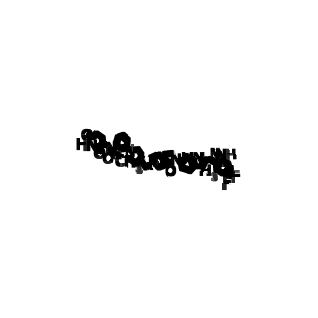 Cn1c(=O)n(C2CCC(=O)NC2=O)c2cccc(N3CCC(CN4CCC5(CC4)CCN(c4ccc6cc(-c7n[nH]c8c7CC7C(F)(F)C7(C)C8)[nH]c6c4)C5=O)CC3)c21